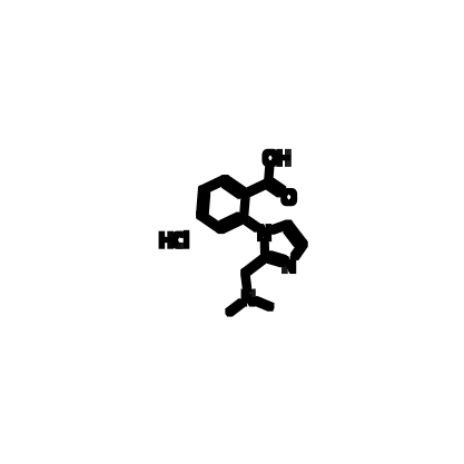 CN(C)Cc1nccn1-c1ccccc1C(=O)O.Cl